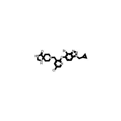 O=C1NCNC12CCN(Cc1cc(Cl)cnc1Oc1ccc3c(nnn3CC3CC3)c1Br)CC2